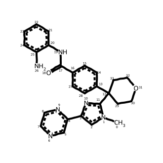 Cn1cc(-c2cnccn2)nc1C1(c2ccc(C(=O)Nc3ccccc3N)cc2)CCOCC1